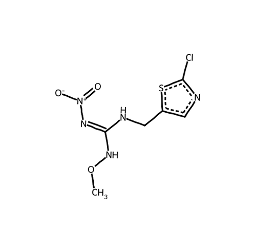 CON/C(=N/[N+](=O)[O-])NCc1cnc(Cl)s1